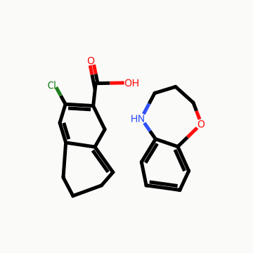 O=C(O)C1=C(Cl)C=C2CCCC=C2C1.c1ccc2c(c1)NCCCO2